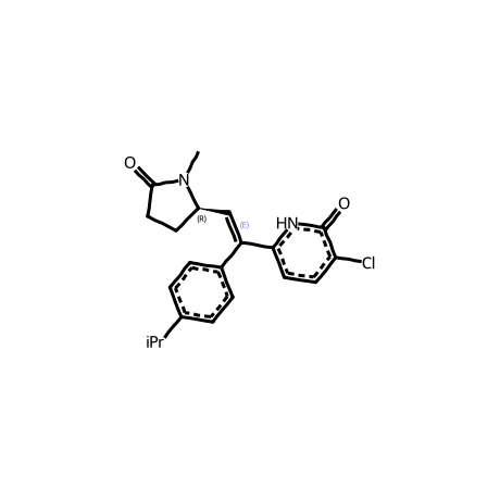 CC(C)c1ccc(/C(=C\[C@H]2CCC(=O)N2C)c2ccc(Cl)c(=O)[nH]2)cc1